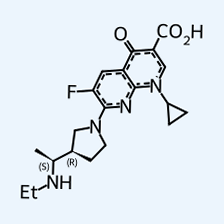 CCN[C@@H](C)[C@@H]1CCN(c2nc3c(cc2F)c(=O)c(C(=O)O)cn3C2CC2)C1